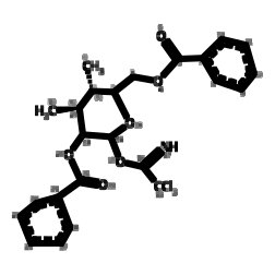 C[C@@H]1C(COC(=O)c2ccccc2)OC(OC(=N)C(Cl)(Cl)Cl)C(OC(=O)c2ccccc2)[C@H]1C